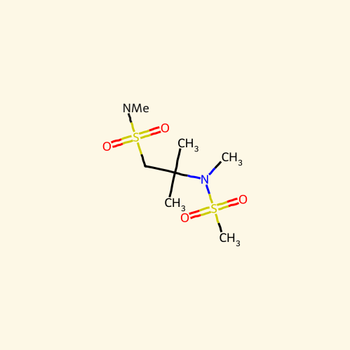 CNS(=O)(=O)CC(C)(C)N(C)S(C)(=O)=O